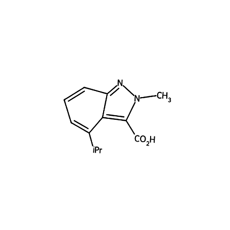 CC(C)c1cccc2nn(C)c(C(=O)O)c12